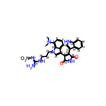 CN(C)c1cccc2c(C3=C(c4c[nH]c5ccccc45)C(=O)NC3=O)cn(CCCNC(N)=N[N+](=O)[O-])c12